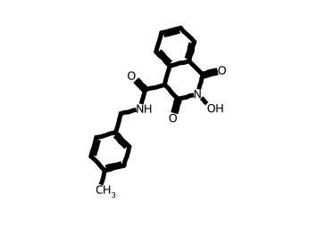 Cc1ccc(CNC(=O)C2C(=O)N(O)C(=O)c3ccccc32)cc1